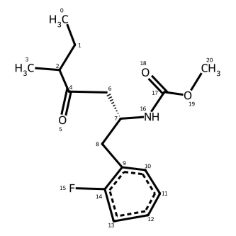 CCC(C)C(=O)C[C@@H](Cc1ccccc1F)NC(=O)OC